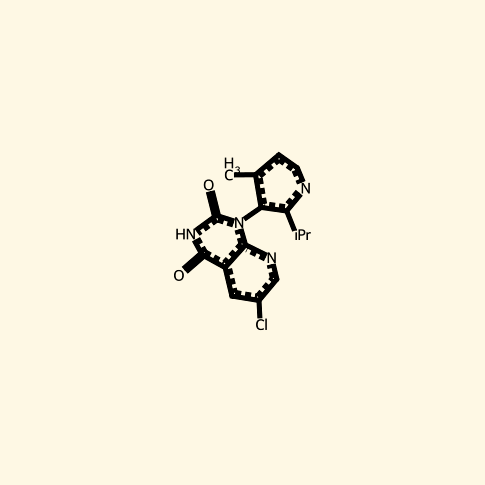 Cc1ccnc(C(C)C)c1-n1c(=O)[nH]c(=O)c2cc(Cl)cnc21